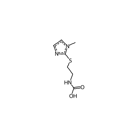 Cn1ccnc1SCCNC(=O)O